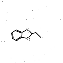 [CH2]CC1Oc2ccccc2O1